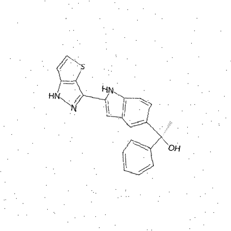 C[C@](O)(c1ccccc1)c1ccc2[nH]c(-c3n[nH]c4ccsc34)cc2c1